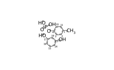 Cc1ccc(OP(=O)(O)O)cc1.Oc1cccc(O)c1